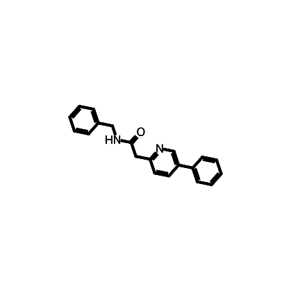 O=C(Cc1ccc(-c2ccccc2)cn1)NCc1ccccc1